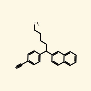 CCCCCC(c1ccc(C#N)cc1)c1ccc2ccccc2c1